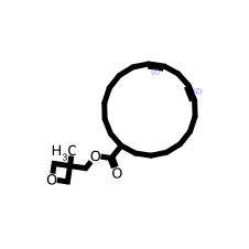 CC1(COC(=O)C2CCCCCC/C=C\C/C=C\CCCCCC2)COC1